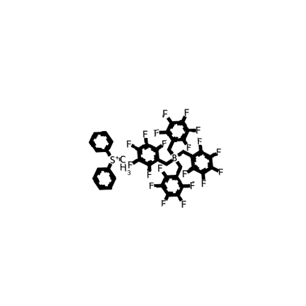 C[S+](c1ccccc1)c1ccccc1.Fc1c(F)c(F)c(C[B-](Cc2c(F)c(F)c(F)c(F)c2F)(Cc2c(F)c(F)c(F)c(F)c2F)Cc2c(F)c(F)c(F)c(F)c2F)c(F)c1F